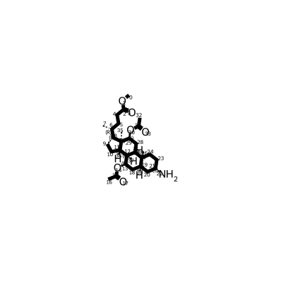 COC(=O)CC[C@@H](C)[C@H]1CC[C@H]2[C@@H]3[C@H](OC(C)=O)C[C@@H]4C[C@@H](N)CC[C@]4(C)[C@H]3C[C@H](OC(C)=O)[C@]12C